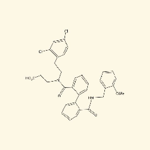 COc1ccccc1CNC(=O)c1ccccc1-c1ccccc1C(=O)N(CCC(=O)O)CCc1ccc(Cl)cc1Cl